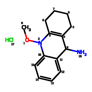 CON1C2=C(CCCC2)C(N)c2ccccc21.Cl